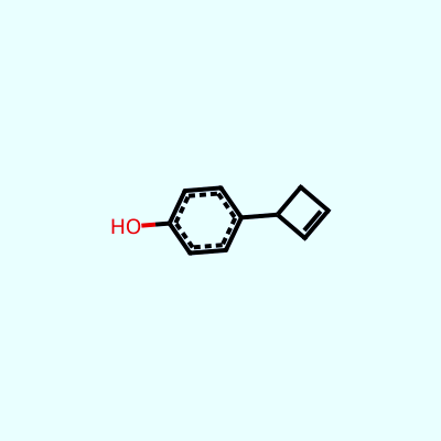 Oc1ccc(C2C=CC2)cc1